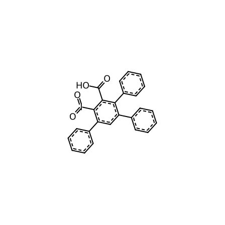 O=C(O)c1c(-c2ccccc2)c(-c2ccccc2)cc(-c2ccccc2)c1I(=O)=O